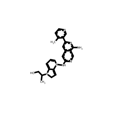 Cc1ccncc1-c1cc2cc(NN3C=CC=C4C3=CCN4C(C)CO)ncc2c(N)n1